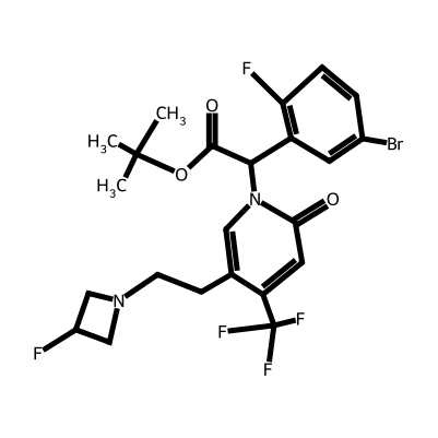 CC(C)(C)OC(=O)C(c1cc(Br)ccc1F)n1cc(CCN2CC(F)C2)c(C(F)(F)F)cc1=O